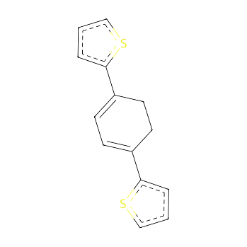 C1=C(c2cccs2)CCC(c2cccs2)=C1